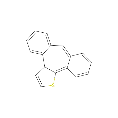 C1=CC2C(=c3ccccc3=Cc3ccccc32)S1